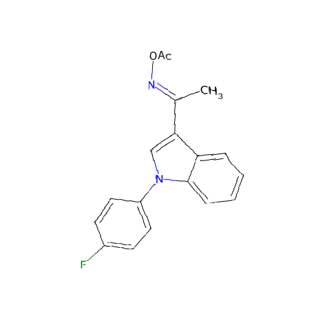 CC(=O)O/N=C(\C)c1cn(-c2ccc(F)cc2)c2ccccc12